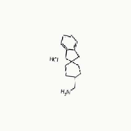 Cl.NCC1CCC2(CC1)Cc1ccccc1C2